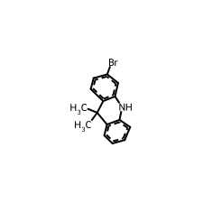 CC1(C)c2ccccc2Nc2cc(Br)ccc21